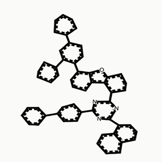 c1ccc(-c2ccc(-c3nc(-c4cccc5ccccc45)nc(-c4cccc5oc6c(-c7ccc(-c8ccccc8)cc7-c7ccccc7)cccc6c45)n3)cc2)cc1